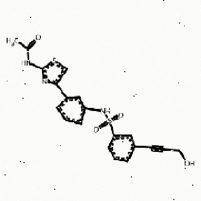 CC(=O)Nc1nc(-c2cccc(NS(=O)(=O)c3cccc(C#CCO)c3)c2)cs1